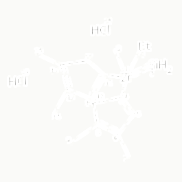 C[CH2][Zr]([CH3])(=[SiH2])([C]1=CC(C)=C(C)C1)[C]1=CC(C)=C(C)C1.Cl.Cl